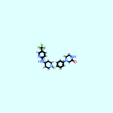 O=C1CN(c2ccc(SN3CCC(Nc4ccc(C(F)(F)F)cn4)CC3)cc2)CCN1